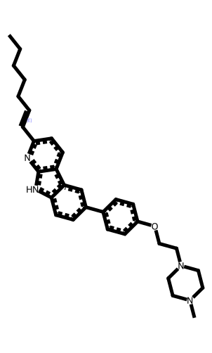 CCCCC/C=C/c1ccc2c(n1)[nH]c1ccc(-c3ccc(OCCN4CCN(C)CC4)cc3)cc12